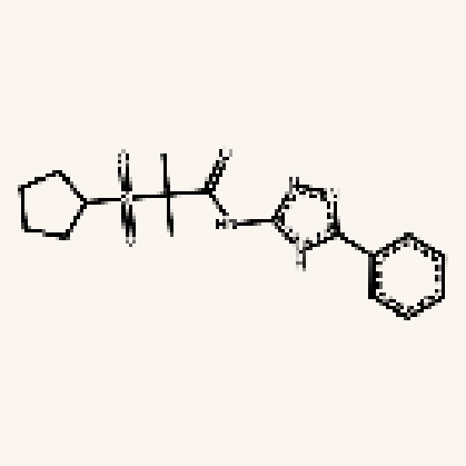 CC(C)(C(=O)Nc1nnc(-c2ccccc2)[nH]1)S(=O)(=O)C1CCCC1